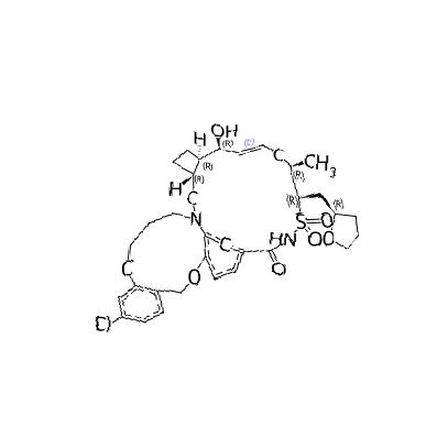 C[C@@H]1C/C=C/[C@H](O)[C@@H]2CC[C@H]2CN2CCCCc3cc(Cl)ccc3COc3ccc(cc32)C(=O)NS(=O)(=O)[C@@H]1C[C@H]1CCCO1